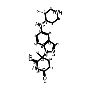 C[C@@H]1CNCC[C@H]1Nc1ccc2c(cnn2C2(C)CCC(=O)NC2=O)c1